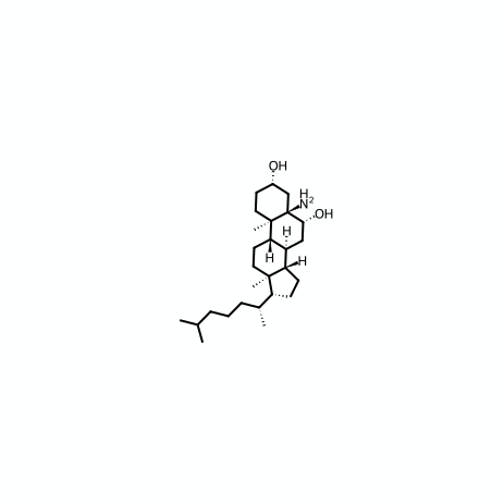 CC(C)CCC[C@@H](C)[C@H]1CC[C@H]2[C@@H]3C[C@@H](O)[C@@]4(N)C[C@@H](O)CC[C@]4(C)[C@H]3CC[C@]12C